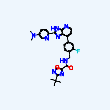 CN(C)c1ccc(-c2nc3c(-c4ccc(CNC(=O)c5nc(C(C)(C)C)no5)c(F)c4)ccnc3[nH]2)nc1